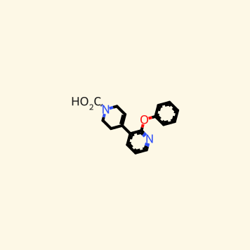 O=C(O)N1CC=C(c2cccnc2Oc2ccccc2)CC1